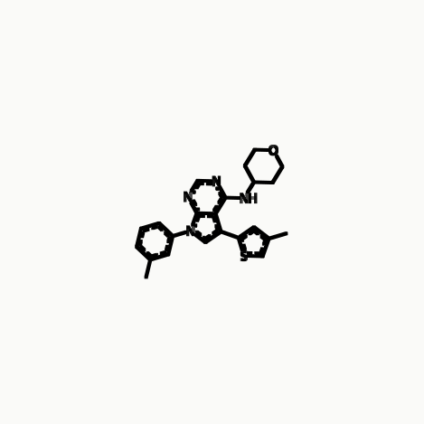 Cc1cccc(-n2cc(-c3cc(C)cs3)c3c(NC4CCOCC4)ncnc32)c1